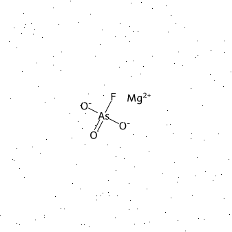 O=[As]([O-])([O-])F.[Mg+2]